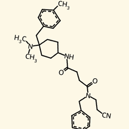 Cc1ccc(CC2(N(C)C)CCC(NC(=O)CCC(=O)N(CCC#N)Cc3ccccc3)CC2)cc1